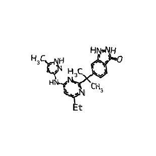 CCc1cc(Nc2cc(C)[nH]n2)nc(C(C)(C)c2ccc3c(=O)[nH][nH]c3c2)n1